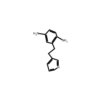 Nc1ccc(N)c(CCc2cccnc2)c1